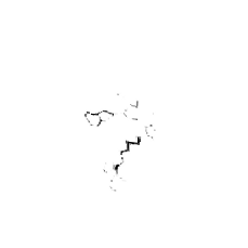 O=C(O)CCCC=CC[C@H]1C(=O)C[C@@H](F)[C@@H]1CC[C@@H](O)c1cc2ccccc2s1